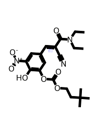 CCN(CC)C(=O)/C(C#N)=C/c1cc(OC(=O)OCCC(C)(C)C)c(O)c([N+](=O)[O-])c1